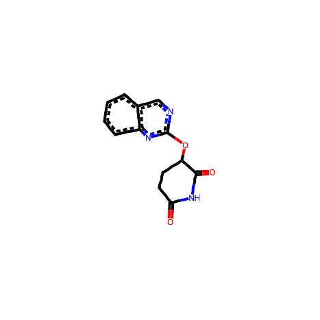 O=C1CCC(Oc2ncc3ccccc3n2)C(=O)N1